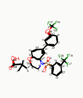 CC(C)(C[C@H]1CN(S(=O)(=O)c2cccc(C(F)(F)F)c2)c2cc(-c3cccc(OC(F)(F)F)c3)ccc2O1)C(=O)O